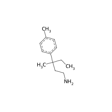 CCC(C)(CCN)c1ccc(C)cc1